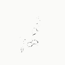 COc1cc2nccc(OC3=CC(Cl)=C(NC(=O)NC4CC4)CC3)c2cc1C(=O)N1CCSC1=O